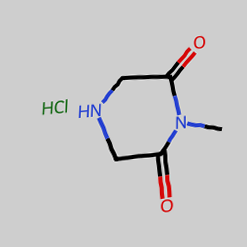 CN1C(=O)CNCC1=O.Cl